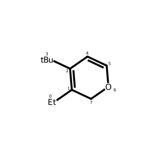 CCC1=C(C(C)(C)C)C=COC1